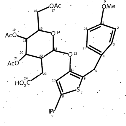 COc1ccc(Cc2sc(C(C)C)cc2OC2OC(COC(C)=O)C(OC(C)=O)C(OC(C)=O)C2CC(=O)O)cc1